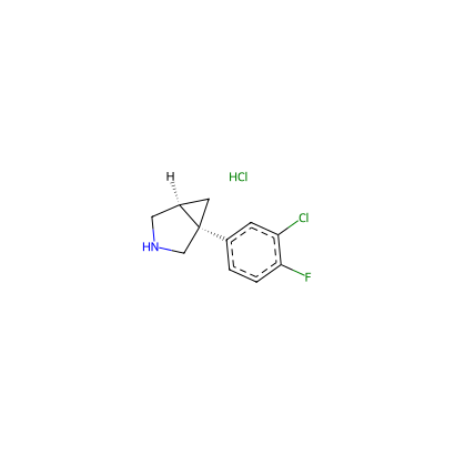 Cl.Fc1ccc([C@]23CNC[C@H]2C3)cc1Cl